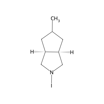 CC1C[C@@H]2CN(I)C[C@@H]2C1